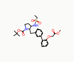 CCS(=O)(=O)NC1CCN(C(=O)OC(C)(C)C)C1Cc1cccc(-c2ccccc2OCC(=O)OC)c1